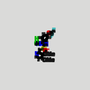 COc1ccnc(C[S+]([O-])c2nc3cc(OC(F)F)ccc3[nH]2)c1OC.Cl